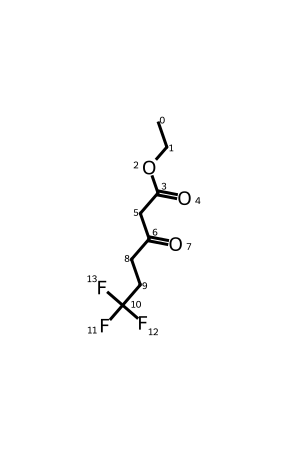 CCOC(=O)CC(=O)CCC(F)(F)F